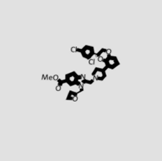 COC(=O)c1ccc2nc(CN3CCC(c4cccc5c4O[C@@H](c4ccc(Cl)cc4Cl)CO5)CC3)n(C[C@@H]3CCO3)c2c1